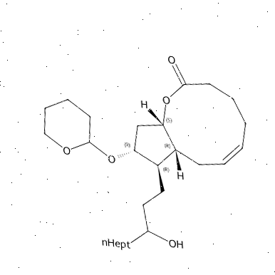 CCCCCCCC(O)CC[C@@H]1[C@H]2CC=CCCCC(=O)O[C@H]2C[C@H]1OC1CCCCO1